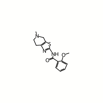 COc1ccccc1C(=O)Nc1nc2c(s1)CN(C)CC2